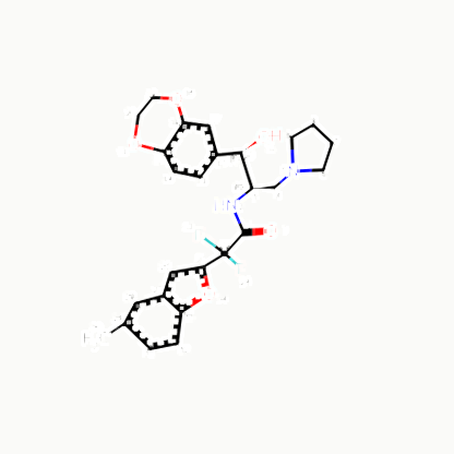 O=C(N[C@H](CN1CCCC1)[C@H](O)c1ccc2c(c1)OCCO2)C(F)(F)c1cc2cc(C(F)(F)F)ccc2o1